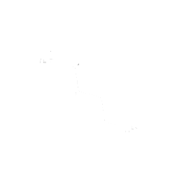 [CH][CH]CCCCCCC[CH]